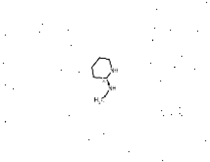 CN[C@H]1CCCCN1